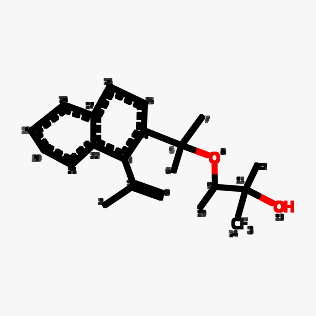 C=C(C)c1c(C(C)(C)OC(C)C(C)(O)C(F)(F)F)ccc2ccccc12